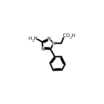 Nc1nc(-c2ccccc2)n(CC(=O)O)n1